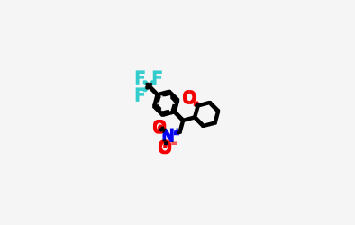 O=C1CCCCC1C(C[N+](=O)[O-])c1ccc(C(F)(F)F)cc1